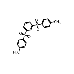 Cc1ccc(S(=O)(=O)c2[c]ccc(S(=O)(=O)c3ccc(C)cc3)c2)cc1